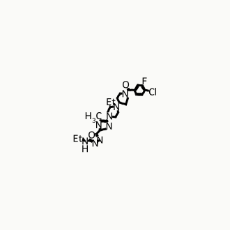 CCNc1nnc(-c2cnc(N3CCN(C4CCN(C(=O)c5ccc(Cl)c(F)c5)CC4)[C@@H](CC)C3)c(C)n2)o1